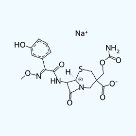 CON=C(C(=O)NC1C(=O)N2CC(COC(N)=O)(C(=O)[O-])CS[C@H]12)c1cccc(O)c1.[Na+]